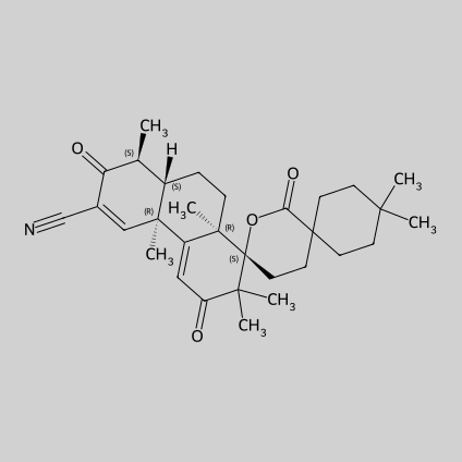 C[C@@H]1C(=O)C(C#N)=C[C@]2(C)C3=CC(=O)C(C)(C)[C@]4(CCC5(CCC(C)(C)CC5)C(=O)O4)[C@]3(C)CC[C@@H]12